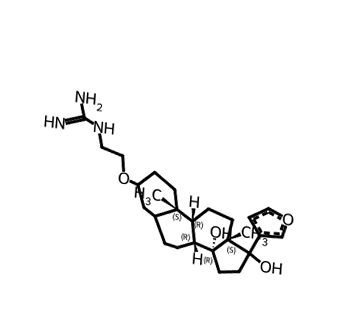 C[C@]12CCC(OCCNC(=N)N)CC1CC[C@@H]1[C@H]2CC[C@]2(C)C(O)(c3ccoc3)CC[C@@]12O